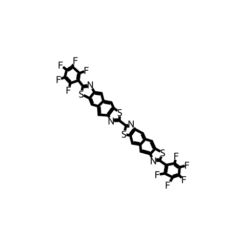 Fc1c(F)c(F)c(-c2nc3cc4cc5sc(-c6nc7cc8cc9sc(-c%10c(F)c(F)c(F)c(F)c%10F)nc9cc8cc7s6)nc5cc4cc3s2)c(F)c1F